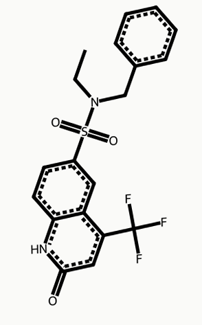 CCN(Cc1ccccc1)S(=O)(=O)c1ccc2[nH]c(=O)cc(C(F)(F)F)c2c1